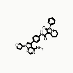 Nc1ncnc2c1c(-c1ccc(NC(=O)c3c4n(n(-c5ccccc5)c3=O)CCCC4)cc1)cn2C1CCOC1